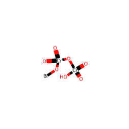 [O]=[Cr](=[O])([OH])[O][Cr](=[O])(=[O])[O][Bi]